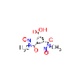 CN(N=O)C(=O)c1cc(C(=O)O)cc(C(=O)N(C)N=O)c1